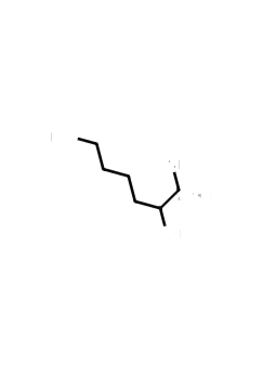 CCCCCC(C)[C@@H](C)N